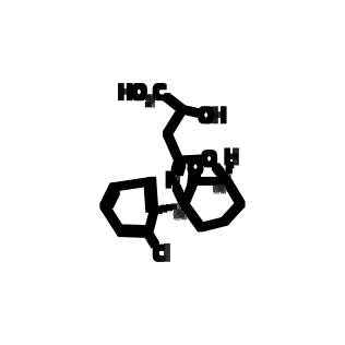 O=C(O)C(O)CC1=N[C@]2(c3ccccc3Cl)CCC[C@H](O1)C2=O